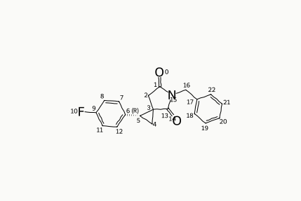 O=C1CC2(C[C@@H]2c2ccc(F)cc2)C(=O)N1Cc1ccccc1